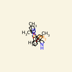 CC12CC3CC(C)(C1)CC(P(Cc1ccccc1C(P)(C1CCNC1)C1CCNC1)C14CC5CC(C)(CC(C)(C5)C1)C4)(C3)C2